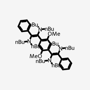 CCCCN(CCCC)C(=C(c1cc(OC)c(C(=C(c2ccccc2)N(CCCC)CCCC)N(CCCC)CCCC)cc1OC)N(CCCC)CCCC)c1ccccc1